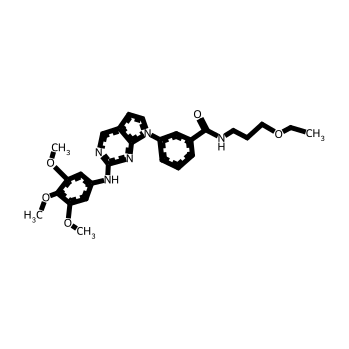 CCOCCCNC(=O)c1cccc(-n2ccc3cnc(Nc4cc(OC)c(OC)c(OC)c4)nc32)c1